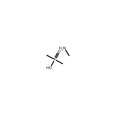 CN.CP(C)(=O)O